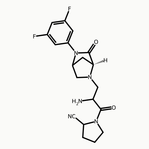 N#CC1CCCN1C(=O)C(N)CN1CC2C[C@H]1C(=O)N2c1cc(F)cc(F)c1